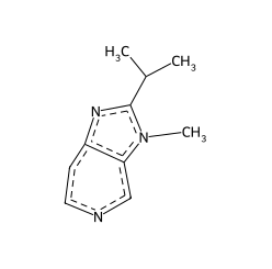 CC(C)c1nc2ccncc2n1C